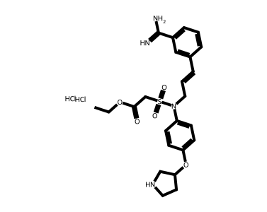 CCOC(=O)CS(=O)(=O)N(C/C=C/c1cccc(C(=N)N)c1)c1ccc(OC2CCNC2)cc1.Cl.Cl